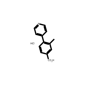 Cc1cc(C(=O)O)ccc1-c1ccncc1.Cl